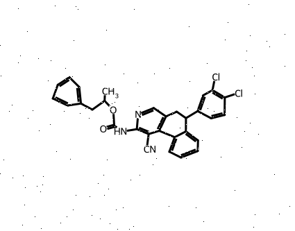 CC(Cc1ccccc1)OC(=O)Nc1ncc2c(c1C#N)-c1ccccc1C(c1ccc(Cl)c(Cl)c1)C2